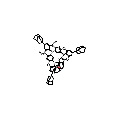 CSN1c2cc3c(cc2B2c4cc5c(cc4N(SC)c4cc(C67CC8CC(CC(C8)C6)C7)cc1c42)Oc1cc(C24CC6CC(CC(C6)C2)C4)cc2c1B5c1sc4ccccc4c1O2)B1c2sc4ccccc4c2Oc2cc(C45CC6CC(CC(C6)C4)C5)cc(c21)O3